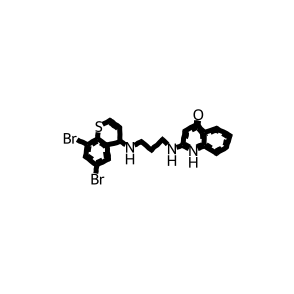 O=c1cc(NCCCNC2C=CSc3c(Br)cc(Br)cc32)[nH]c2ccccc12